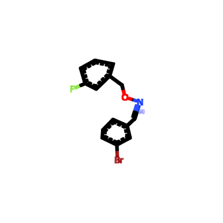 Fc1cccc(CO/N=[C]\c2cccc(Br)c2)c1